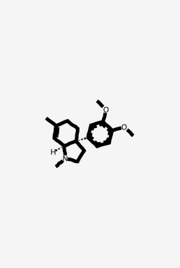 COc1ccc([C@@]23CCC(C)=C[C@@H]2N(C)CC3)cc1OC